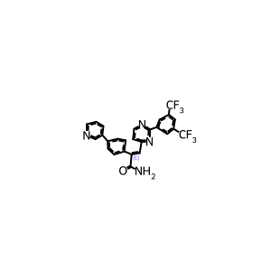 NC(=O)/C(=C/c1ccnc(-c2cc(C(F)(F)F)cc(C(F)(F)F)c2)n1)c1ccc(-c2cccnc2)cc1